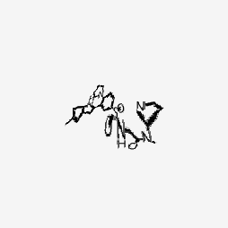 Cc1ccc2[nH]c(-c3cc(S(=O)(=O)NCC(=O)N(C)c4cccnc4)ccc3N3CCCC3)cc2c1